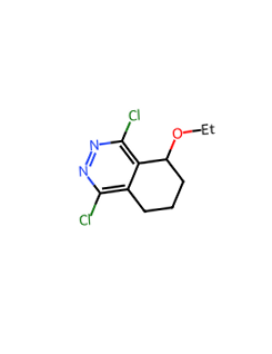 CCOC1CCCc2c(Cl)nnc(Cl)c21